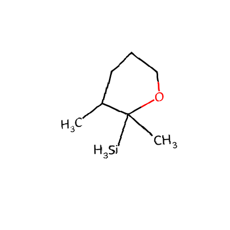 CC1CCCOC1(C)[SiH3]